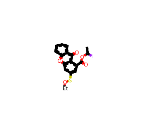 CCOSc1cc(C(=O)OC(C)I)c2c(=O)c3ccccc3oc2c1